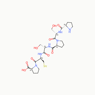 O=C(N[C@@H](CO)C(=O)N1CCC[C@H]1C(=O)N[C@@H](CO)C(=O)N[C@@H](CS)C(=O)N1CCC[C@H]1C(=O)O)[C@@H]1CCCN1